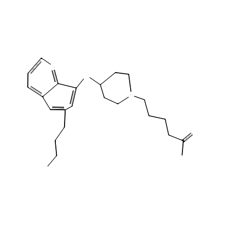 CCCCc1cc(OC2CCN(CCCCC(=O)O)CC2)c2ncccc2c1